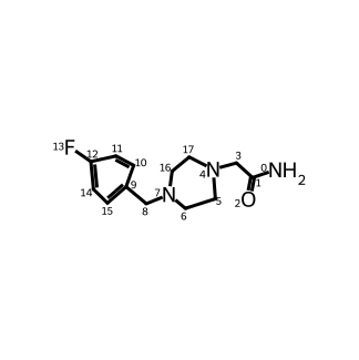 NC(=O)CN1CCN(Cc2ccc(F)cc2)CC1